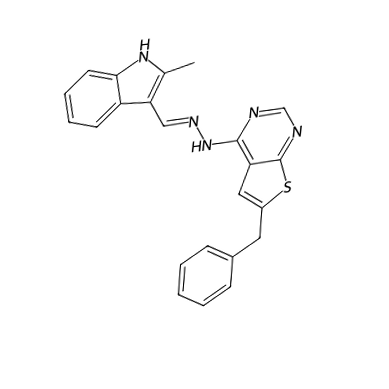 Cc1[nH]c2ccccc2c1C=NNc1ncnc2sc(Cc3ccccc3)cc12